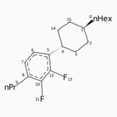 CCCCCC[C@H]1CC[C@H](c2ccc(CCC)c(F)c2F)CC1